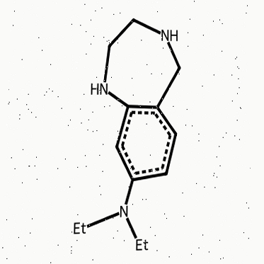 CCN(CC)c1ccc2c(c1)NCCNC2